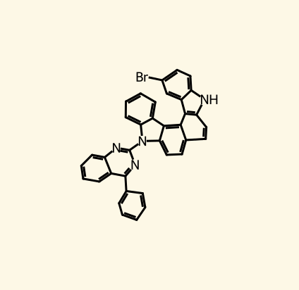 Brc1ccc2[nH]c3ccc4ccc5c(c6ccccc6n5-c5nc(-c6ccccc6)c6ccccc6n5)c4c3c2c1